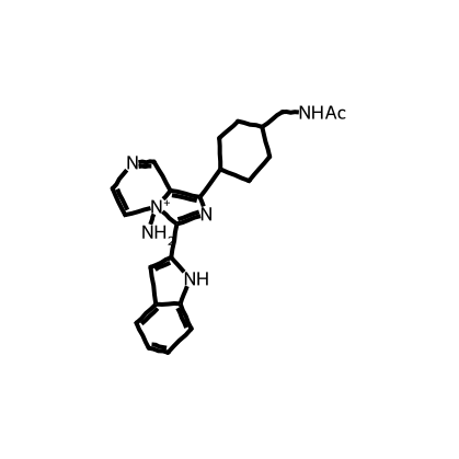 CC(=O)NCC1CCC(C2=C3C=NC=C[N+]3(N)C(c3cc4ccccc4[nH]3)=N2)CC1